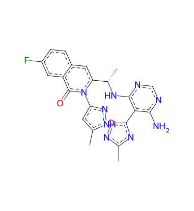 Cc1noc(-c2c(N)ncnc2N[C@@H](C)c2cc3ccc(F)cc3c(=O)n2-c2cc(C)[nH]n2)n1